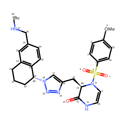 COc1ccc(S(=O)(=O)N2C=CNC(=O)[C@H]2Cc2cn([C@@H]3CCCc4cc(CNC(C)(C)C)ccc43)nn2)cc1